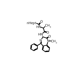 CCCCCCCC(=O)NC(C)C(=O)N[C@H]1N=C(c2ccccc2)c2ccccc2N(C)C1=O